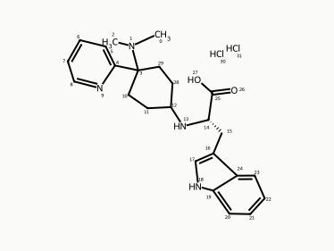 CN(C)C1(c2ccccn2)CCC(N[C@@H](Cc2c[nH]c3ccccc23)C(=O)O)CC1.Cl.Cl